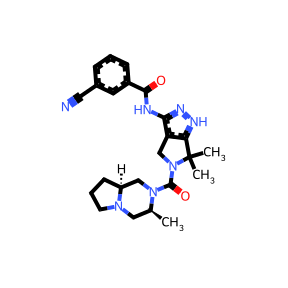 C[C@H]1CN2CCC[C@H]2CN1C(=O)N1Cc2c(NC(=O)c3cccc(C#N)c3)n[nH]c2C1(C)C